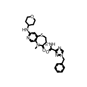 CN1C(=O)[C@@H](NC(=O)c2ncn(Cc3ccccc3)n2)CSc2cc(NC3CCOCC3)ncc21